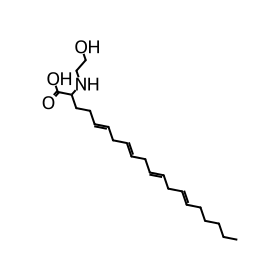 CCCCCC=CCC=CCC=CCC=CCCC(NCCO)C(=O)O